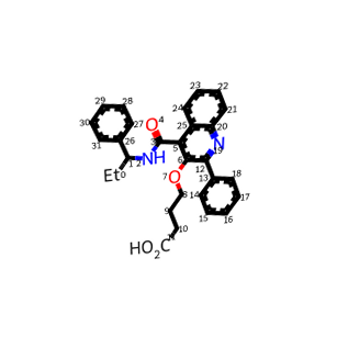 CCC(NC(=O)c1c(OCCCC(=O)O)c(-c2ccccc2)nc2ccccc12)c1ccccc1